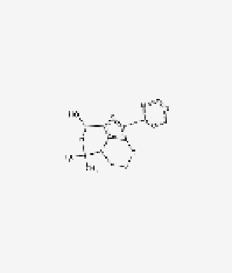 CC1(C)NC(O)c2sc(-c3ccncn3)c3c2N1CCO3